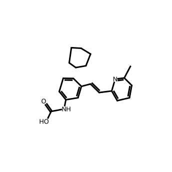 C1CCCCC1.Cc1cccc(C=Cc2cccc(NC(=O)O)c2)n1